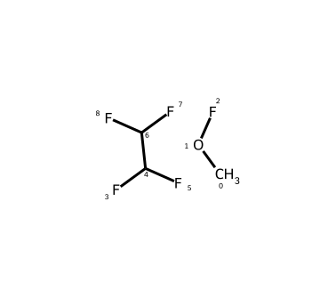 COF.FC(F)C(F)F